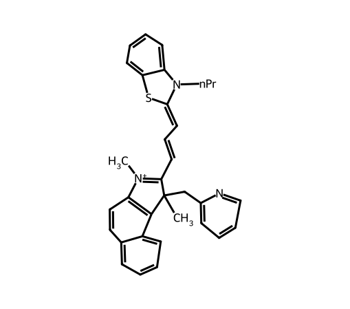 CCCN1/C(=C/C=C/C2=[N+](C)c3ccc4ccccc4c3C2(C)Cc2ccccn2)Sc2ccccc21